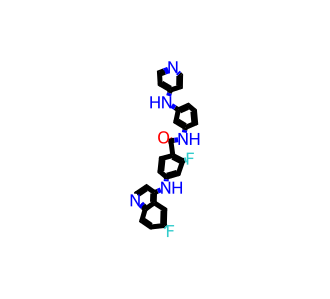 O=C(Nc1cccc(Nc2ccncc2)c1)c1ccc(Nc2ccnc3ccc(F)cc23)cc1F